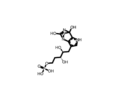 O=P(O)(O)OCC[C@@H](O)[C@@H](O)Cc1c[nH]c2c1N1NC2(O)N=C1O